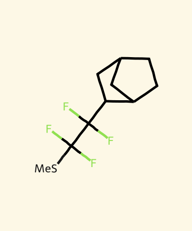 CSC(F)(F)C(F)(F)C1CC2CCC1C2